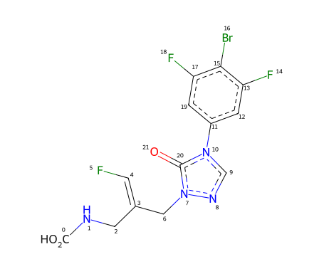 O=C(O)NCC(=CF)Cn1ncn(-c2cc(F)c(Br)c(F)c2)c1=O